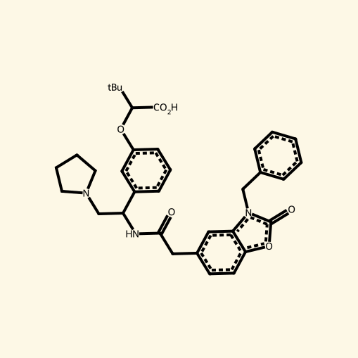 CC(C)(C)C(Oc1cccc(C(CN2CCCC2)NC(=O)Cc2ccc3oc(=O)n(Cc4ccccc4)c3c2)c1)C(=O)O